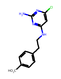 Nc1nc(Cl)cc(NCCc2ccc(C(=O)O)cc2)n1